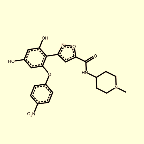 CN1CCC(NC(=O)c2cc(-c3c(O)cc(O)cc3Oc3ccc([N+](=O)[O-])cc3)no2)CC1